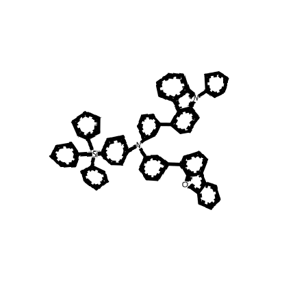 c1ccc(-n2c3ccccc3c3c(-c4cccc(N(c5ccc([Si](c6ccccc6)(c6ccccc6)c6ccccc6)cc5)c5cccc(-c6cccc7c6oc6ccccc67)c5)c4)cccc32)cc1